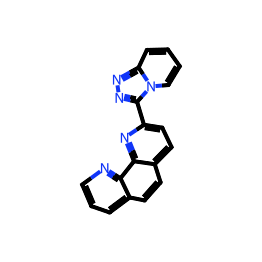 c1cnc2c(c1)ccc1ccc(-c3nnc4ccccn34)nc12